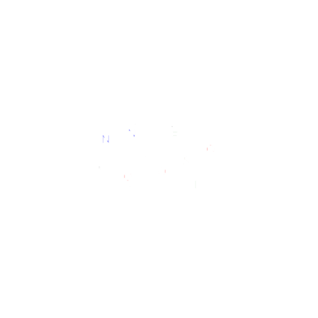 O=S(=O)(F)F.c1nnco1